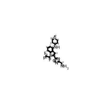 CN1CCC(Nc2cccc3c2cc(-c2nc(CN)no2)n3C(F)C(F)F)CC1